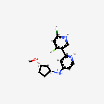 CO[C@H]1CC[C@H](Nc2ccnc(-c3cnc(Cl)cc3F)c2)C1